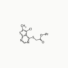 Cc1sc2ncnc(SCC(=O)OC(C)C)c2c1Cl